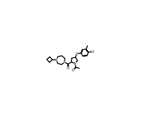 CC(=O)N1CC(Oc2ccc(Cl)c(C)c2)CC1C(=O)N1CCCN(C2CCC2)CC1